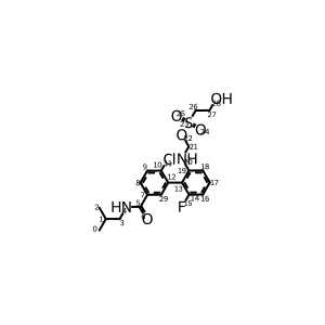 CC(C)CNC(=O)c1ccc(Cl)c(-c2c(F)cccc2NCOS(=O)(=O)CCO)c1